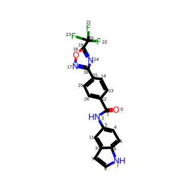 O=C(Nc1ccc2[nH]ccc2c1)c1ccc(-c2noc(C(F)(F)F)n2)cc1